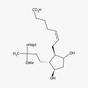 CCCCCCCC(C)(CC[C@H]1[C@H](O)CC(O)[C@@H]1C/C=C\CCCC(=O)O)OC